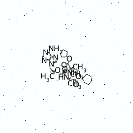 C[C@H](Cn1cnc2c(N)ncnc21)OC[P@@](=O)(N[C@H](C)C(=O)OC1CCCC1)NC(C)(C)C(=O)OC1CCCCC1